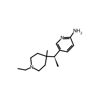 CCN1CCC(C)([C@H](C)c2ccc(N)nc2)CC1